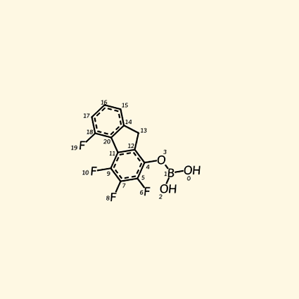 OB(O)Oc1c(F)c(F)c(F)c2c1Cc1cccc(F)c1-2